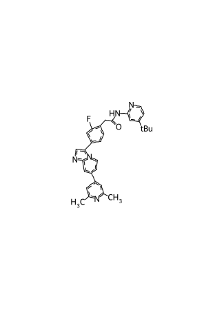 Cc1cc(-c2ccn3c(-c4ccc(CC(=O)Nc5cc(C(C)(C)C)ccn5)c(F)c4)cnc3c2)cc(C)n1